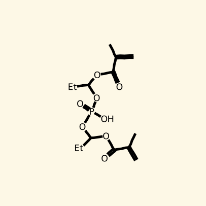 C=C(C)C(=O)OC(CC)OP(=O)(O)OC(CC)OC(=O)C(=C)C